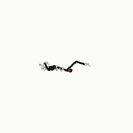 CCCCCCCC/C=C\CCCCCCCCOCC(CN1CCCCC1)OCCOC(=O)COCC(=O)OC1CCC2(C)C(=CCC3[C@H]4CCC([C@@H](C)CCCC(C)C)[C@@]4(C)CC[C@@H]32)C1